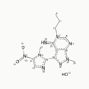 CCCn1cnc2c(c(-c3ncc([N+](=O)[O-])n3C)nn2C)c1=N.Cl